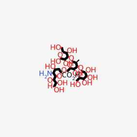 C[C@H]1C(O[C@@H]2OC(CO)[C@H](O)C(O)C2O)[C@H](O)C(CO[C@]2(C(=O)O)C[C@@H](O)[C@@H](N)C([C@H](O)[C@H](O)CO)O2)O[C@H]1OC1[C@@H](O)C(CO)O[C@@H](O)[C@H]1O